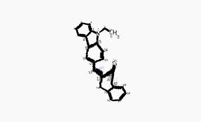 CCN1c2ccccc2C2C=C(/C=C3/Cc4ccccc4C3=O)C=CC21